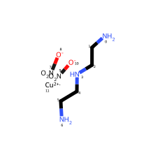 NCCNCCN.O=[N+]([O-])[O-].O=[N+]([O-])[O-].[Cu+2]